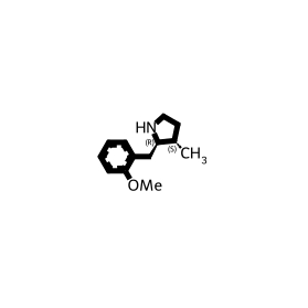 COc1ccccc1C[C@H]1NCC[C@@H]1C